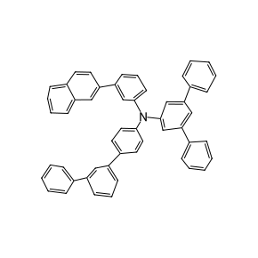 c1ccc(-c2cccc(-c3ccc(N(c4cccc(-c5ccc6ccccc6c5)c4)c4cc(-c5ccccc5)cc(-c5ccccc5)c4)cc3)c2)cc1